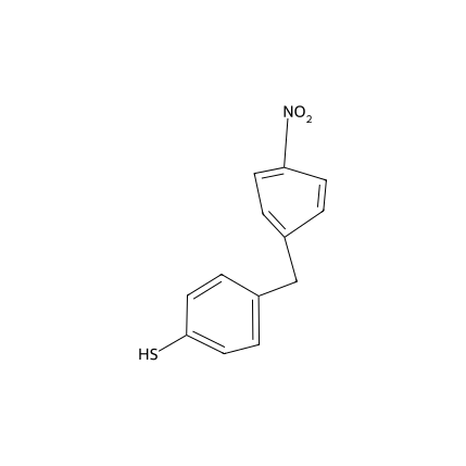 O=[N+]([O-])c1ccc(Cc2ccc(S)cc2)cc1